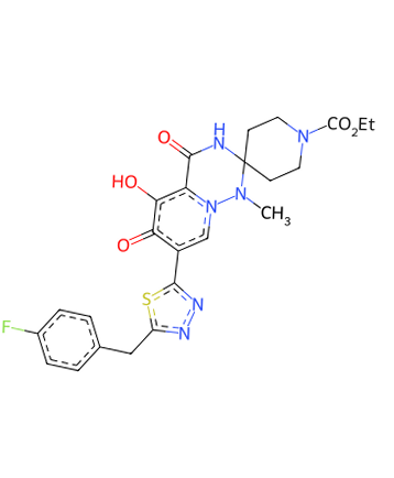 CCOC(=O)N1CCC2(CC1)NC(=O)c1c(O)c(=O)c(-c3nnc(Cc4ccc(F)cc4)s3)cn1N2C